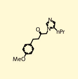 CCCc1cncn1CC(=O)CCc1ccc(OC)cc1